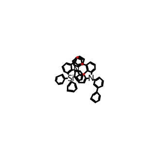 c1ccc(-c2cccc(-n3c4cccc(-c5ccccc5)c4c4c(-n5c6ccccc6c6cccc([Si](c7ccccc7)(c7ccccc7)c7ccccc7)c65)cccc43)c2)cc1